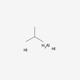 CC(C)C.I.I.[AlH3]